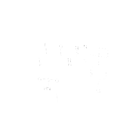 CCNS(=O)(=O)c1ccc(F)c(C(=O)Nc2nnc(C3(c4ccc(Cl)cc4)CCC3)s2)c1